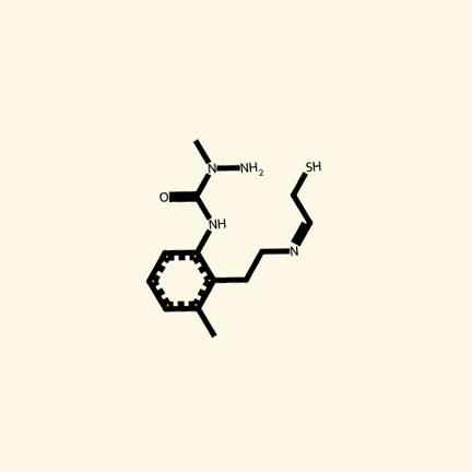 Cc1cccc(NC(=O)N(C)N)c1CC/N=C\CS